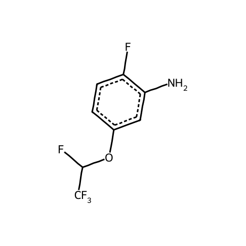 Nc1cc(OC(F)C(F)(F)F)ccc1F